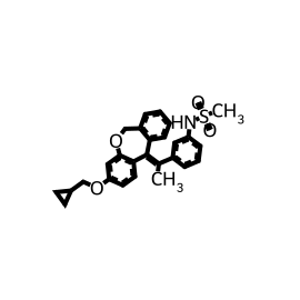 C/C(=C1/c2ccccc2COc2cc(OCC3CC3)ccc21)c1cccc(NS(C)(=O)=O)c1